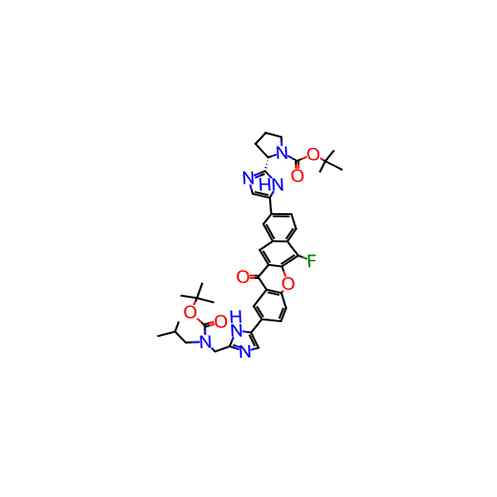 CC(C)CN(Cc1ncc(-c2ccc3oc4c(F)c5ccc(-c6cnc([C@@H]7CCCN7C(=O)OC(C)(C)C)[nH]6)cc5cc4c(=O)c3c2)[nH]1)C(=O)OC(C)(C)C